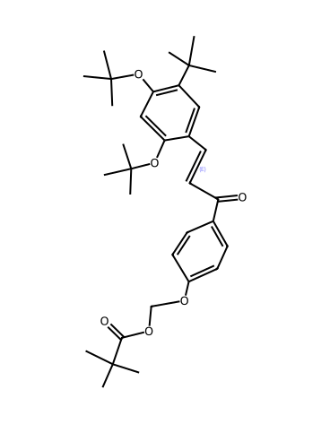 CC(C)(C)Oc1cc(OC(C)(C)C)c(C(C)(C)C)cc1/C=C/C(=O)c1ccc(OCOC(=O)C(C)(C)C)cc1